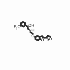 O[C@@H](CNCCOc1ccc2oc(-c3ccon3)cc2c1)c1cccc(C(F)(F)F)c1